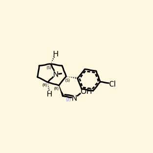 CN1[C@H]2CC[C@@H]1[C@H](/C=N\O)[C@@H](c1ccc(Cl)cc1)C2